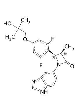 C[C@H]1C(=O)N(c2ccc3[nH]cnc3c2)[C@H]1c1c(F)cc(OCC(C)(C)O)cc1F